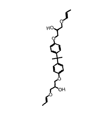 CC=COCC(O)COc1ccc(C(C)(C)c2ccc(OCC(O)COC=CC)cc2)cc1